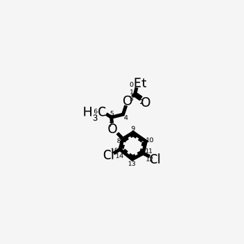 CCC(=O)OCC(C)Oc1ccc(Cl)cc1Cl